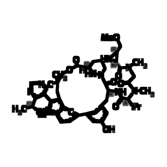 CCn1c(-c2cccnc2[C@H](C)OC)c2c3cc(ccc31)-c1cc(O)cc(c1)C[C@H](NC(=O)[C@H](C(C)C)N(C)C(=O)CN(C)C(=O)[C@@H]1N[C@H]1COC)C(=O)N1CCC[C@H](N1)C(=O)OCC(C)(C)C2